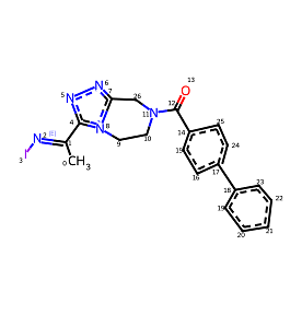 C/C(=N\I)c1nnc2n1CCN(C(=O)c1ccc(-c3ccccc3)cc1)C2